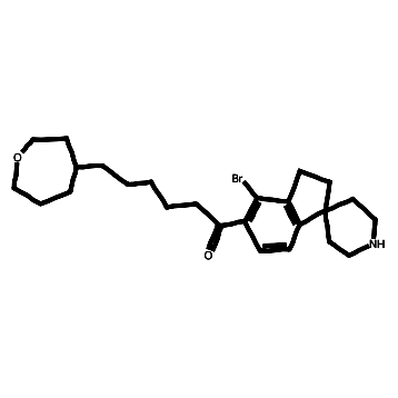 O=C(CCCCCC1CCCOCC1)c1ccc2c(c1Br)CCC21CCNCC1